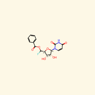 O=C(OC(F)[C@H]1O[C@@H](n2ccc(=O)[nH]c2=O)[C@H](O)[C@@H]1O)c1ccccc1